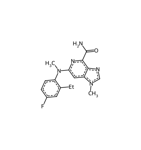 CCc1cc(F)ccc1N(C)c1cc2c(ncn2C)c(C(N)=O)n1